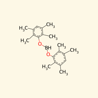 Cc1cc(C)c(C)c(OBOc2c(C)c(C)cc(C)c2C)c1C